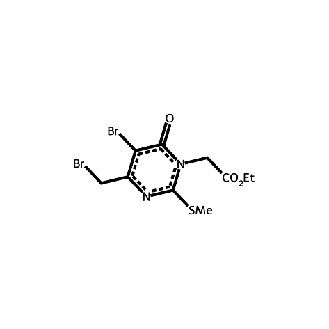 CCOC(=O)Cn1c(SC)nc(CBr)c(Br)c1=O